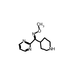 CON=C(c1ncccn1)C1CCNCC1